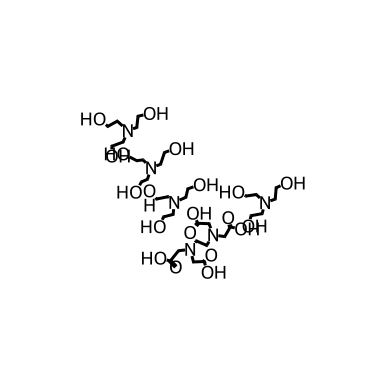 O=C(O)CN(CCN(CC(=O)O)CC(=O)O)CC(=O)O.OCCN(CCO)CCO.OCCN(CCO)CCO.OCCN(CCO)CCO.OCCN(CCO)CCO